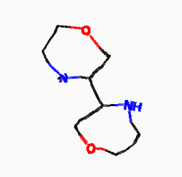 C1COCC(C2COCCN2)[N]1